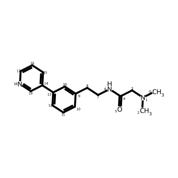 CN(C)CC(=O)NCCc1cccc(-c2cccnc2)c1